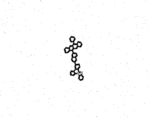 c1ccc(-c2c3ccccc3cc3c(-c4ccc5cc(-c6ccc7c(c6)c6ccccc6n6c8ccccc8nc76)ccc5c4)c4ccccc4cc23)cc1